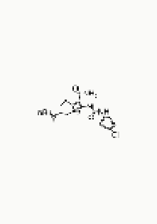 CCCCN(C)C1CCc2c(sc(NC(=O)Nc3ccc(Cl)cc3)c2C(N)=O)C1